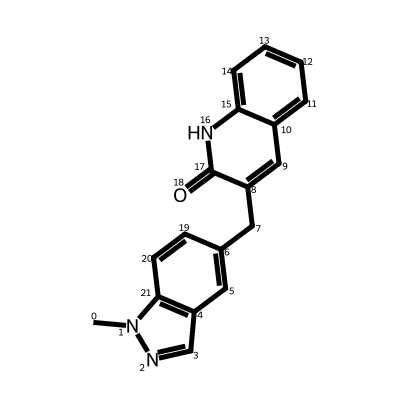 Cn1ncc2cc(Cc3cc4ccccc4[nH]c3=O)ccc21